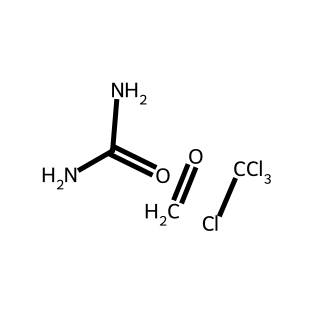 C=O.ClC(Cl)(Cl)Cl.NC(N)=O